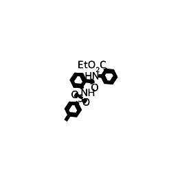 CCOC(=O)c1ccccc1NC(=O)c1ccccc1NS(=O)(=O)c1ccc(C)cc1